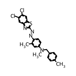 Cc1ccc(CN(C)c2ccc(N=Nc3nc4cc(Cl)c(Cl)cc4s3)c(C)c2)cc1